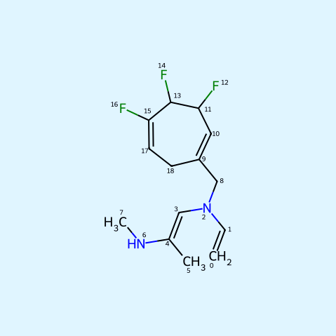 C=CN(/C=C(\C)NC)CC1=CC(F)C(F)C(F)=CC1